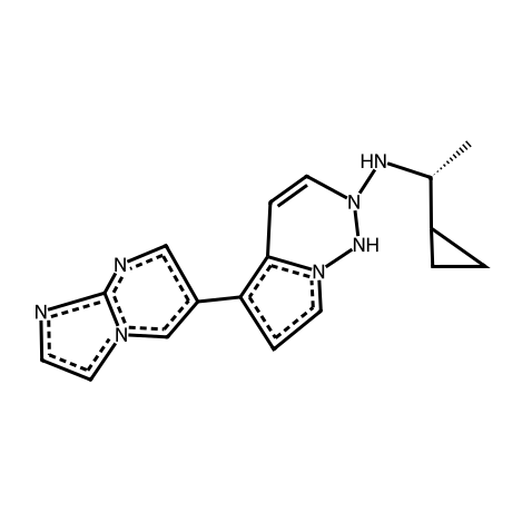 C[C@@H](NN1C=Cc2c(-c3cnc4nccn4c3)ccn2N1)C1CC1